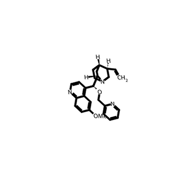 C=C[C@H]1CN2CC[C@H]1C[C@H]2[C@H](OCc1ccccn1)c1ccnc2ccc(OC)cc12